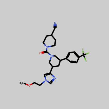 COCCn1cnc(C2CC(c3ccc(C(F)(F)F)cc3)CN(C(=O)N3CCC(C#N)CC3)C2)c1